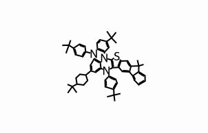 CC(C)(C)c1ccc(N2c3ccc(C(C)(C)C)cc3N3c4sc5cc6c(cc5c4N(c4ccc(C(C)(C)C)cc4)c4cc(C5CCC(C(C)(C)C)CC5)cc2c43)-c2ccccc2C6(C)C)cc1